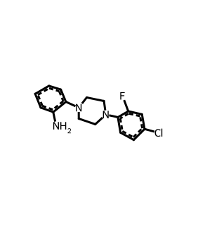 Nc1ccccc1N1CCN(c2ccc(Cl)cc2F)CC1